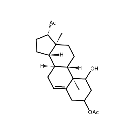 CC(=O)OC1CC2=CC[C@H]3[C@@H]4CC[C@H](C(C)=O)[C@@]4(C)CC[C@@H]3[C@@]2(C)C(O)C1